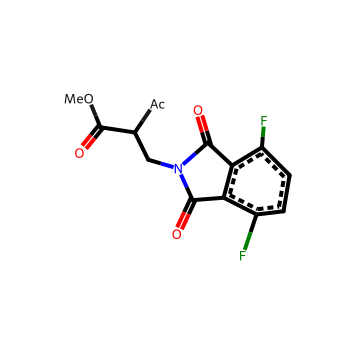 COC(=O)C(CN1C(=O)c2c(F)ccc(F)c2C1=O)C(C)=O